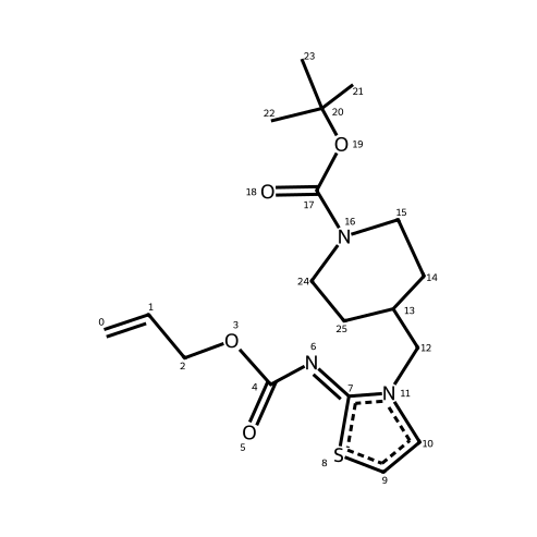 C=CCOC(=O)N=c1sccn1CC1CCN(C(=O)OC(C)(C)C)CC1